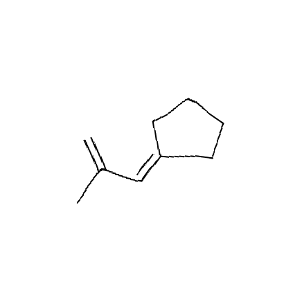 C=C(C)C=C1CCCC1